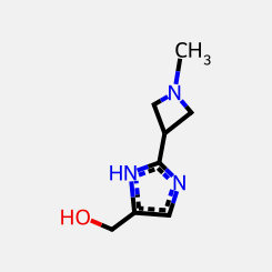 CN1CC(c2ncc(CO)[nH]2)C1